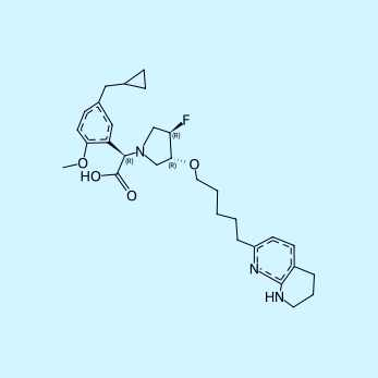 COc1ccc(CC2CC2)cc1[C@H](C(=O)O)N1C[C@@H](F)[C@H](OCCCCCc2ccc3c(n2)NCCC3)C1